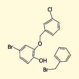 BrCc1ccccc1.Oc1ccc(Br)cc1OCc1cccc(Cl)c1